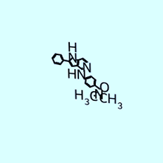 CN(C)C(=O)c1ccc(Nc2nccc3[nH]c(-c4ccccc4)cc23)cc1